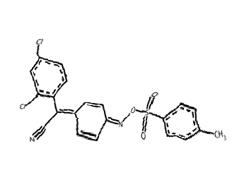 Cc1ccc(S(=O)(=O)ON=C2C=CC(=C(C#N)c3ccc(Cl)cc3Cl)C=C2)cc1